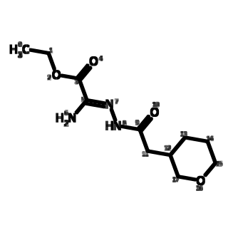 CCOC(=O)C(N)=NNC(=O)CC1CCCOC1